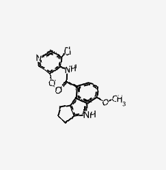 COc1ccc(C(=O)Nc2c(Cl)cncc2Cl)c2c3c([nH]c12)CCC3